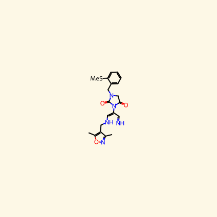 CSc1ccccc1CN1CC(=O)N(/C(C=N)=C/NCc2c(C)noc2C)C1=O